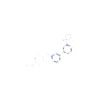 N[C@H]1CC[C@H](Nc2ncc(F)c(-c3ccnc(C4(O)CCC4)c3)n2)CC1